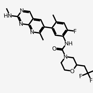 CNc1ncc2cc(-c3cc(NC(=O)N4CCOC(CC(F)(F)F)C4)c(F)cc3C)c(C)nc2n1